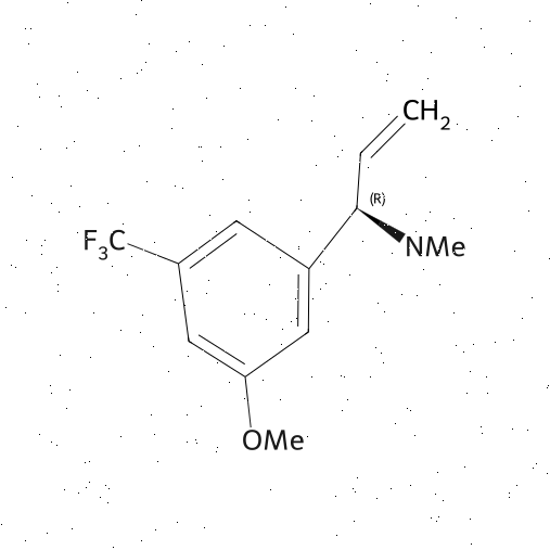 C=C[C@@H](NC)c1cc(OC)cc(C(F)(F)F)c1